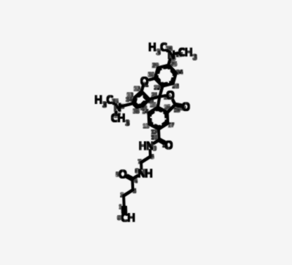 C#CCCC(=O)NCCNC(=O)c1ccc2c(c1)C(=O)OC21c2ccc(N(C)C)cc2Oc2cc(N(C)C)ccc21